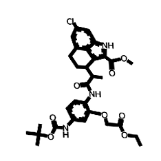 CCOC(=O)COc1cc(NC(=O)OC(C)(C)C)ccc1NC(=O)C(C)C1CCc2cc(Cl)cc3[nH]c(C(=O)OC)c1c23